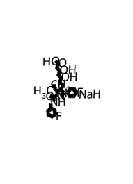 CC(C)c1c(C(=O)NCc2cccc(F)c2)nn(-c2ccc(F)cc2)c1CC[C@@H](O)C[C@@H](O)CC(=O)O.[NaH]